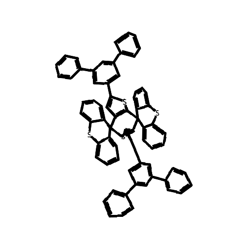 c1ccc(-c2cc(-c3ccccc3)cc(-c3cc4c(s3)C3(c5ccccc5Sc5ccccc53)c3cc(-c5cc(-c6ccccc6)cc(-c6ccccc6)c5)sc3C43c4ccccc4Sc4ccccc43)c2)cc1